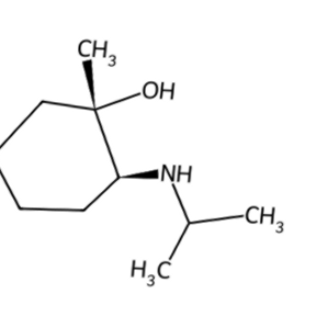 CC(C)N[C@H]1CCCC[C@]1(C)O